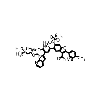 CNC(=O)c1c(-c2ccc(C)cc2)oc2cc(N(C)S(C)(=O)=O)c(-c3cc(-c4cc5cccnc5n4COCC[Si](C)(C)C)c(OC)nn3)cc12